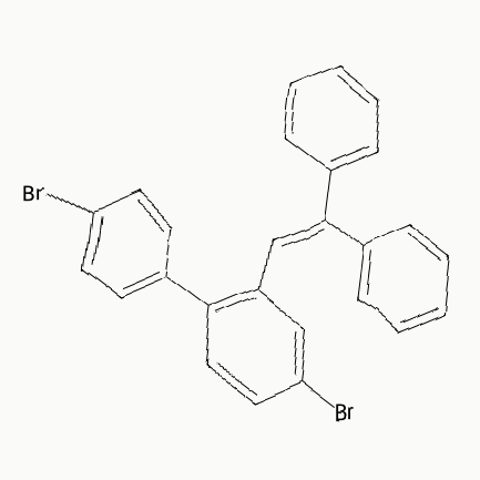 Brc1ccc(-c2ccc(Br)cc2C=C(c2ccccc2)c2ccccc2)cc1